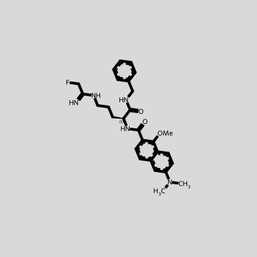 COc1c(C(=O)N[C@@H](CCCNC(=N)CF)C(=O)NCc2ccccc2)ccc2cc(N(C)C)ccc12